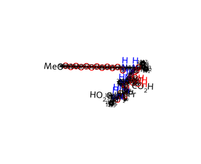 C=C(C)CO[C@H](C[C@H](C(C)C)N(C)C(=O)[C@@H](NC(=O)[C@H]1CCCC[N+]1(C)Cc1ccc(O[C@@H]2O[C@H](C(=O)O)[C@@H](O)[C@H](O)[C@H]2O)c(NC(=O)CCNC(=O)[C@H](CCCCNC(=O)CCOCCOCCOCCOCCOCCOCCOCCOCCOCCOCCOCCOC)NC(=O)OCC2c3ccccc3-c3ccccc32)c1)[C@@H](C)CC)c1nc(C(=O)N[C@@H](Cc2ccccc2)C[C@H](C)C(=O)O)cs1